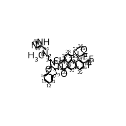 CN(CCN(C)C(=O)[C@H](Cc1ccccc1)N(Cc1ccc(N2CCOCC2)cc1)C(=O)C=Cc1ccc(C(F)(F)F)cc1)Cc1cnc[nH]1